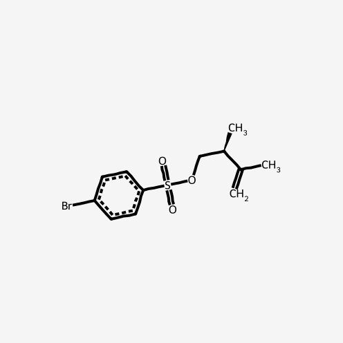 C=C(C)[C@H](C)COS(=O)(=O)c1ccc(Br)cc1